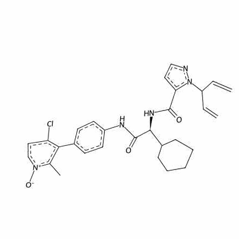 C=CC(C=C)n1nccc1C(=O)N[C@H](C(=O)Nc1ccc(-c2c(Cl)cc[n+]([O-])c2C)cc1)C1CCCCC1